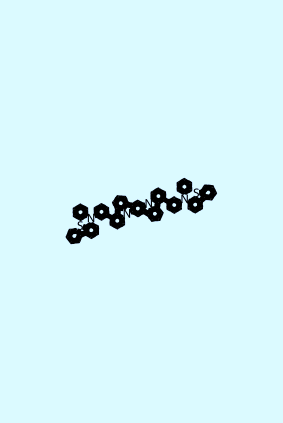 c1ccc(N(c2cccc(-c3cccc4c3c3cccc5c6cc7c(cc6n4c53)c3cccc4c5c(-c6cccc(N(c8ccccc8)c8cccc9c8sc8ccccc89)c6)cccc5n7c34)c2)c2cccc3c2sc2ccccc23)cc1